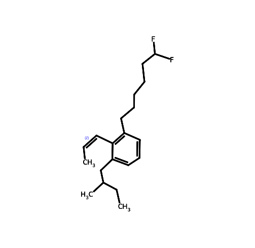 C/C=C\c1c(CCCCCC(F)F)cccc1CC(C)CC